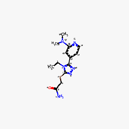 CCn1c(SCC(N)=O)nnc1-c1ccnc(N(C)C)c1